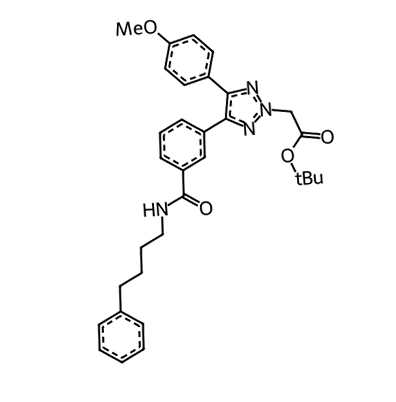 COc1ccc(-c2nn(CC(=O)OC(C)(C)C)nc2-c2cccc(C(=O)NCCCCc3ccccc3)c2)cc1